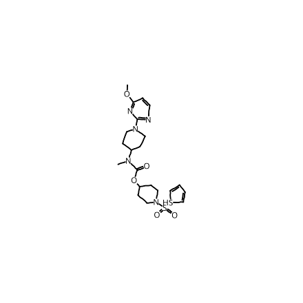 COc1ccnc(N2CCC(N(C)C(=O)OC3CCN(S(=O)(=O)[SH]4C=CC=C4)CC3)CC2)n1